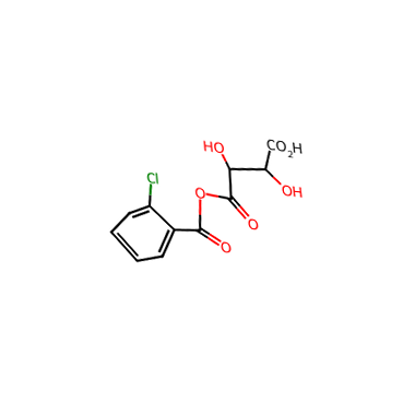 O=C(OC(=O)C(O)C(O)C(=O)O)c1ccccc1Cl